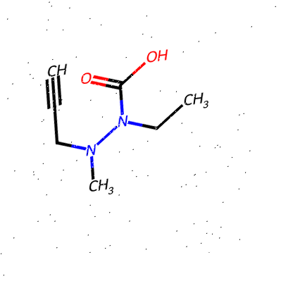 C#CCN(C)N(CC)C(=O)O